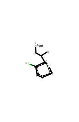 [CH2]C(CCCCCC)c1ccccc1F